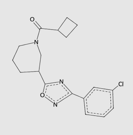 O=C(C1CCC1)N1CCCC(c2nc(-c3cccc(Cl)c3)no2)C1